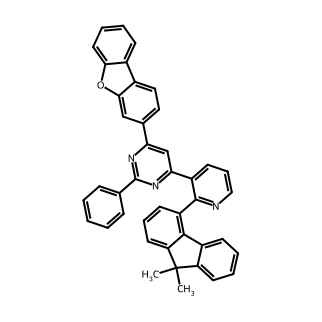 CC1(C)c2ccccc2-c2c(-c3ncccc3-c3cc(-c4ccc5c(c4)oc4ccccc45)nc(-c4ccccc4)n3)cccc21